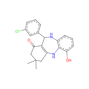 CC1(C)CC(=O)C2=C(C1)Nc1c(O)cccc1NC2c1cccc(Cl)c1